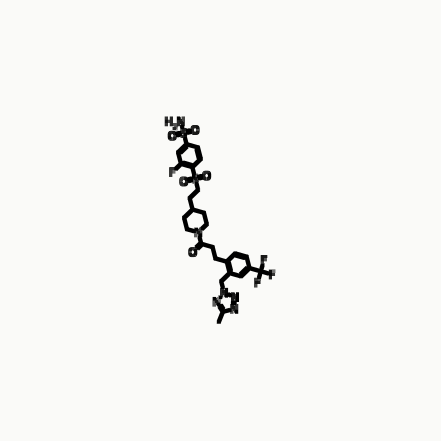 Cc1nnn(Cc2cc(C(F)(F)F)ccc2CCC(=O)N2CCC(CCS(=O)(=O)c3ccc(S(N)(=O)=O)cc3F)CC2)n1